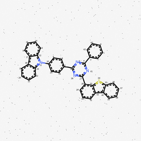 c1ccc(-c2nc(-c3ccc(-n4c5ccccc5c5ccccc54)cc3)nc(-c3cccc4c3sc3ccccc34)n2)cc1